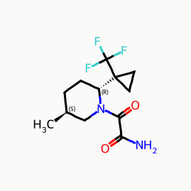 C[C@H]1CC[C@H](C2(C(F)(F)F)CC2)N(C(=O)C(N)=O)C1